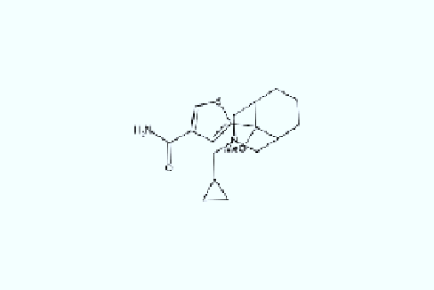 COC1(c2cc(C(N)=O)cs2)C2CCCC1CN(CC1CC1)C2